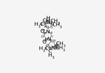 CC1(C)CC(N2CCN(C3CC(C)(C)NC(C)(C)C3)C(=O)CC2=O)CC(C)(C)N1